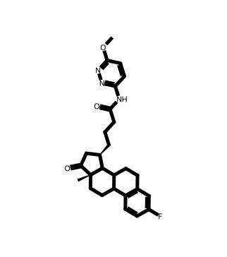 COc1ccc(NC(=O)CCC[C@@H]2CC(=O)[C@@]3(C)CCC4c5ccc(F)cc5CCC4C23)nn1